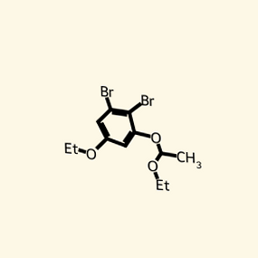 CCOc1cc(Br)c(Br)c(OC(C)OCC)c1